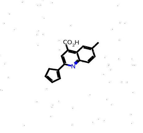 Cc1ccc2nc(C3=CC=CC3)cc(C(=O)O)c2c1